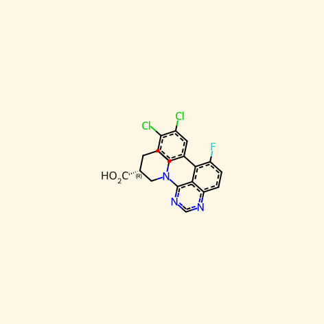 O=C(O)[C@@H]1CCCN(c2ncnc3ccc(F)c(-c4ccc(Cl)c(Cl)c4)c23)C1